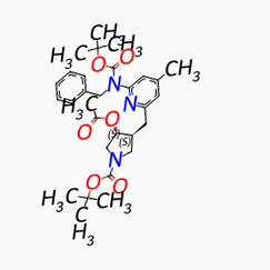 CC(=O)O[C@@H]1CN(C(=O)OC(C)(C)C)C[C@@H]1Cc1cc(C)cc(N(Cc2ccccc2)C(=O)OC(C)(C)C)n1